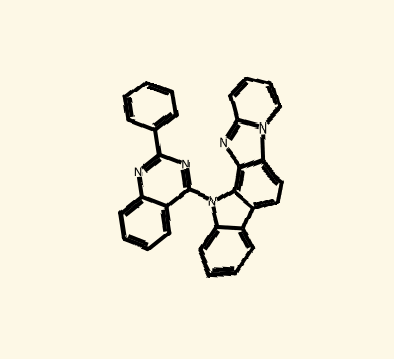 c1ccc(-c2nc(-n3c4ccccc4c4ccc5c(nc6ccccn65)c43)c3ccccc3n2)cc1